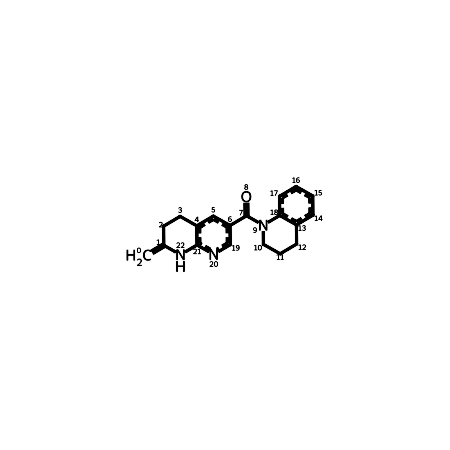 C=C1CCc2cc(C(=O)N3CCCc4ccccc43)cnc2N1